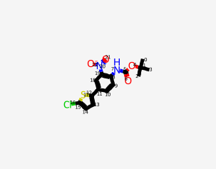 CC(C)(C)OC(=O)Nc1ccc(-c2ccc(Cl)s2)cc1[N+](=O)[O-]